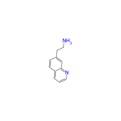 NCCc1ccc2cccnc2c1